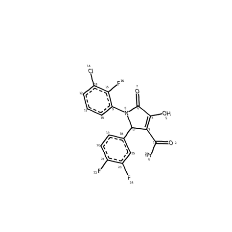 CC(C)C(=O)C1=C(O)C(=O)N(c2cccc(Cl)c2F)C1c1ccc(F)c(F)c1